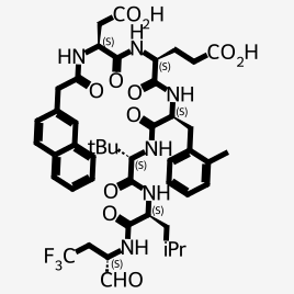 Cc1ccccc1C[C@H](NC(=O)[C@H](CCC(=O)O)NC(=O)[C@H](CC(=O)O)NC(=O)Cc1ccc2ccccc2c1)C(=O)N[C@H](C(=O)N[C@@H](CC(C)C)C(=O)N[C@H](C=O)CC(F)(F)F)C(C)(C)C